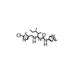 CC[C@@H](C)C(C)/C(=N\C(=O)Nc1cnn(C)c1)NCc1cnc(Cl)s1